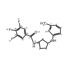 Cc1cccc(NC2CCC(NC(=O)c3cc(F)c(F)c(F)c3)C2)n1